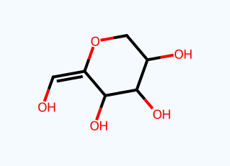 O/C=C1/OCC(O)C(O)C1O